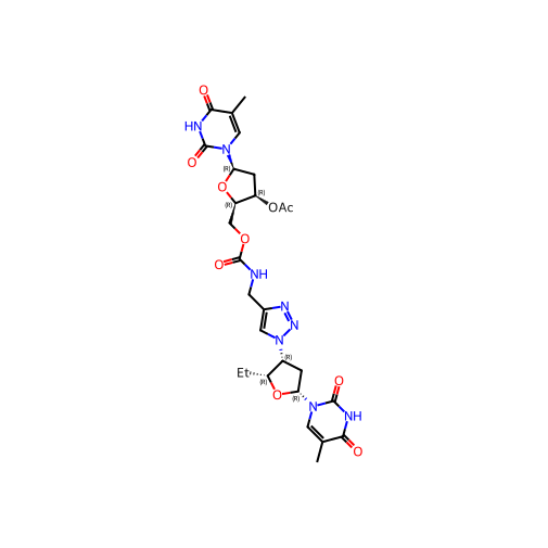 CC[C@H]1O[C@@H](n2cc(C)c(=O)[nH]c2=O)C[C@H]1n1cc(CNC(=O)OC[C@H]2O[C@@H](n3cc(C)c(=O)[nH]c3=O)C[C@H]2OC(C)=O)nn1